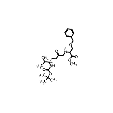 COC(=O)C(COCc1ccccc1)NCC(=O)CC[C@H](NC(=O)OC(C)(C)C)C(C)C